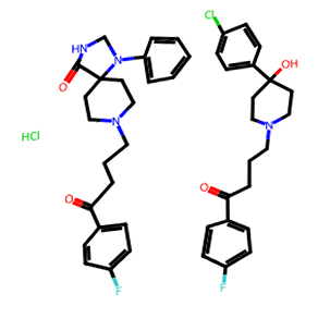 Cl.O=C(CCCN1CCC(O)(c2ccc(Cl)cc2)CC1)c1ccc(F)cc1.O=C(CCCN1CCC2(CC1)C(=O)NCN2c1ccccc1)c1ccc(F)cc1